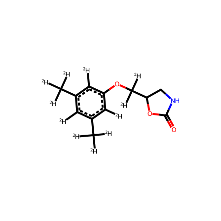 [2H]c1c(OC([2H])([2H])C2CNC(=O)O2)c([2H])c(C([2H])([2H])[2H])c([2H])c1C([2H])([2H])[2H]